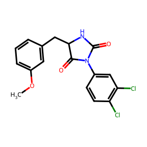 COc1cccc(CC2NC(=O)N(c3ccc(Cl)c(Cl)c3)C2=O)c1